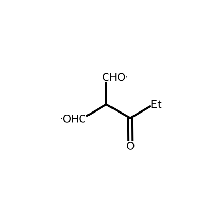 CCC(=O)C([C]=O)[C]=O